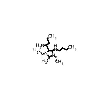 CCCCNC1C(C(N)CCC)N(SC)C(C)N1SC